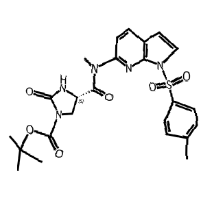 Cc1ccc(S(=O)(=O)n2ccc3ccc(N(C)C(=O)[C@@H]4CN(C(=O)OC(C)(C)C)C(=O)N4)nc32)cc1